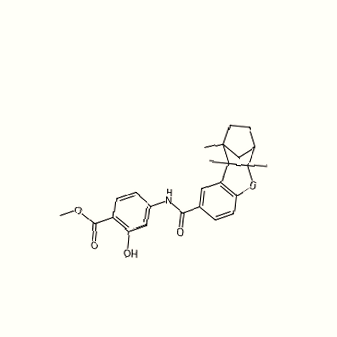 COC(=O)c1ccc(NC(=O)c2ccc3c(c2)C2(C)C4(C)CCC(C4)C2(C)O3)cc1O